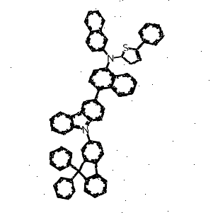 C1=C(c2ccccc2)SC(N(c2ccc3ccccc3c2)c2ccc(-c3ccc4c(c3)c3ccccc3n4-c3ccc4c(c3)C(c3ccccc3)(c3ccccc3)c3ccccc3-4)c3ccccc23)C1